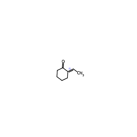 C/C=C1\CCCCC1=O